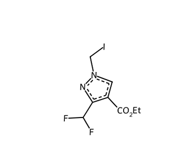 CCOC(=O)c1cn(CI)nc1C(F)F